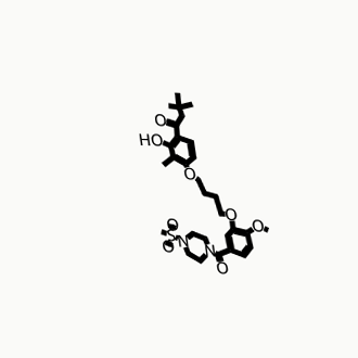 COc1ccc(C(=O)N2CCN(S(C)(=O)=O)CC2)cc1OCCCCOc1ccc(C(=O)CC(C)(C)C)c(O)c1C